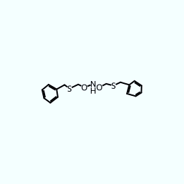 c1ccc(CSCONOCSCc2ccccc2)cc1